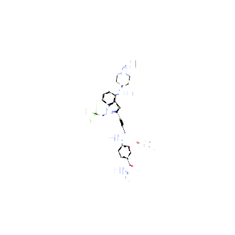 CNC(=O)c1ccc(NCC#Cc2cc3c(NC4CCN(C)CC4)cccc3n2CC(F)(F)F)c(OC)c1